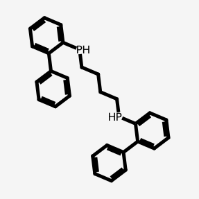 c1ccc(-c2ccccc2PCCCCPc2ccccc2-c2ccccc2)cc1